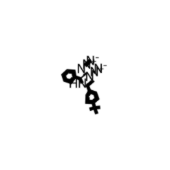 CC(C)(C)c1ccc(C(CN=[N+]=[N-])N[C@H](CN=[N+]=[N-])c2ccccc2)cc1